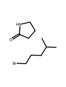 CC(C)CCCBr.O=C1CCCN1